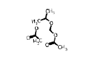 CC(=O)OCOC(C)C.CC([O])=O